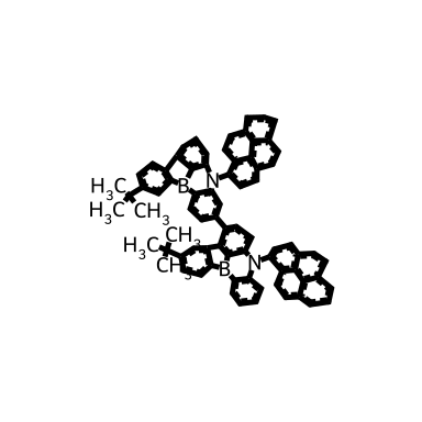 CC(C)(C)c1ccc2c(c1)B1c3ccc(-c4ccc5c6c4-c4cc(C(C)(C)C)ccc4B6c4ccccc4N5c4ccc5ccc6cccc7ccc4c5c67)cc3N(c3ccc4ccc5cccc6ccc3c4c56)c3cccc-2c31